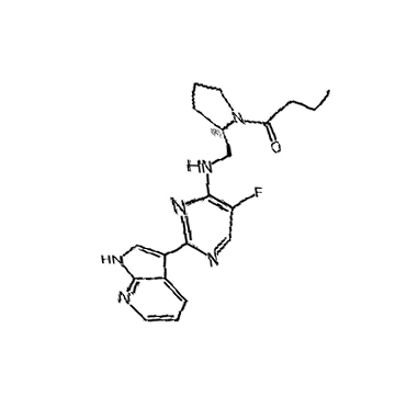 CCCC(=O)N1CCC[C@@H]1CNc1nc(-c2c[nH]c3ncccc23)ncc1F